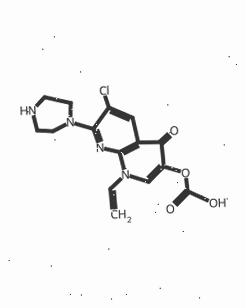 C=Cn1cc(OC(=O)O)c(=O)c2cc(Cl)c(N3CCNCC3)nc21